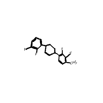 Cc1ccc(C2CCC(c3cccc(F)c3F)CC2)c(F)c1F